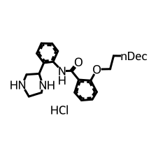 CCCCCCCCCCCCOc1ccccc1C(=O)Nc1ccccc1C1CNCCN1.Cl